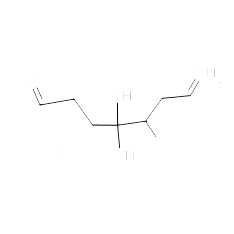 C=CCC(O)C(C)(C)[C@H](O)CC=C